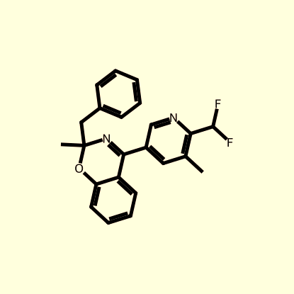 Cc1cc(C2=NC(C)(Cc3ccccc3)Oc3ccccc32)cnc1C(F)F